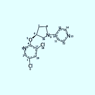 Clc1cnc(O[C@H]2CCN(c3ccncc3)C2)c(Cl)c1